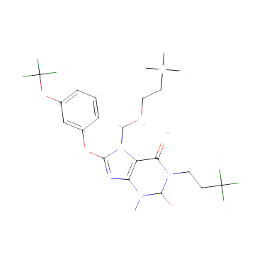 CN1c2nc(Oc3cccc(OC(F)(F)F)c3)n(COCC[Si](C)(C)C)c2C(=O)N(CCC(F)(F)F)C1O